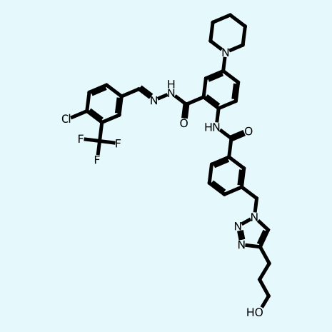 O=C(Nc1ccc(N2CCCCC2)cc1C(=O)N/N=C/c1ccc(Cl)c(C(F)(F)F)c1)c1cccc(Cn2cc(CCCO)nn2)c1